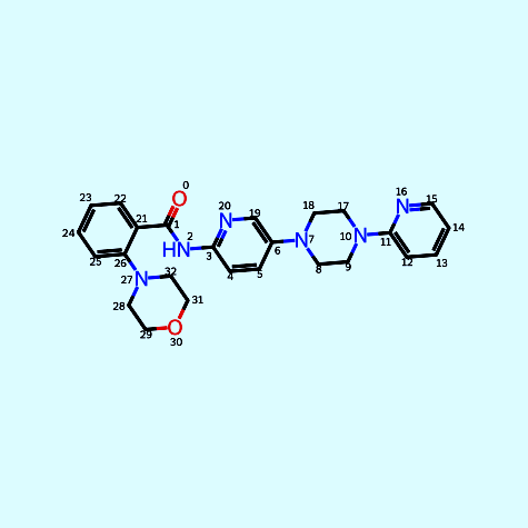 O=C(Nc1ccc(N2CCN(c3ccccn3)CC2)cn1)c1ccccc1N1CCOCC1